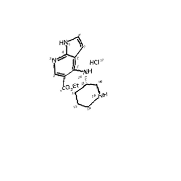 CCOC(=O)c1cnc2[nH]ccc2c1N[C@H]1CCCNC1.Cl